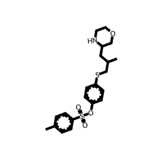 Cc1ccc(S(=O)(=O)Oc2ccc(SCC(C)CC3COCCN3)cc2)cc1